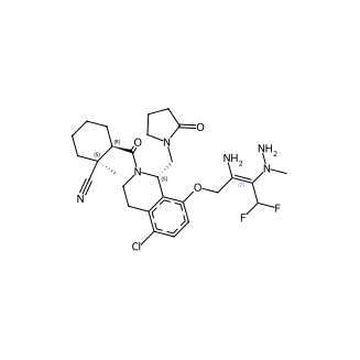 CN(N)/C(=C(\N)COc1ccc(Cl)c2c1[C@@H](CN1CCCC1=O)N(C(=O)[C@@H]1CCCC[C@]1(C)C#N)CC2)C(F)F